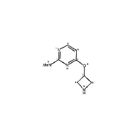 CNc1nccc(OC2CNC2)n1